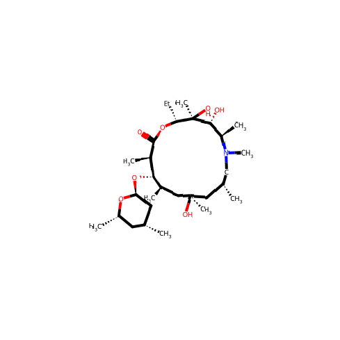 CC[C@H]1OC(=O)[C@H](C)[C@@H](O[C@H]2C[C@H](C)C[C@H](C)O2)[C@H](C)C[C@](C)(O)C[C@@H](C)CN(C)[C@H](C)[C@@H](O)[C@]1(C)O